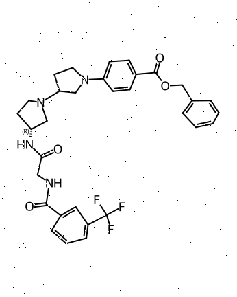 O=C(CNC(=O)c1cccc(C(F)(F)F)c1)N[C@@H]1CCN(C2CCN(c3ccc(C(=O)OCc4ccccc4)cc3)C2)C1